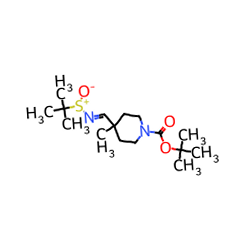 CC1(/C=N/[S+]([O-])C(C)(C)C)CCN(C(=O)OC(C)(C)C)CC1